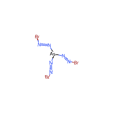 BrN=N[As](N=NBr)N=NBr